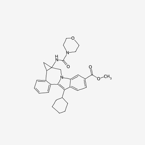 COC(=O)c1ccc2c(C3CCCCC3)c3n(c2c1)CC1(NC(=O)N2CCOCC2)CC1c1ccccc1-3